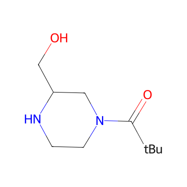 CC(C)(C)C(=O)N1CCNC(CO)C1